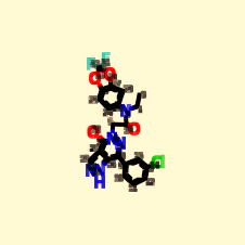 CCN(C(=O)Cn1nc(-c2cccc(Cl)c2)c2[nH]ncc2c1=O)c1ccc2c(c1)OC(F)(F)O2